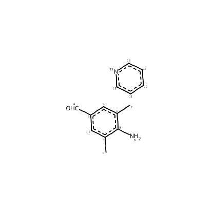 Cc1cc(C=O)cc(C)c1N.c1ccncc1